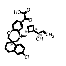 C=C[C@H](O)[C@@H]1CC[C@H]1CN1C[C@@]2(CCCc3cc(Cl)ccc32)COc2ccc(C(=O)C(=O)O)cc21